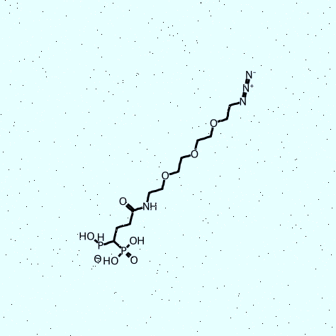 [N-]=[N+]=NCCOCCOCCOCCNC(=O)CCC([PH](=O)O)P(=O)(O)O